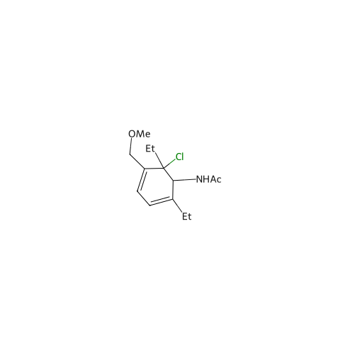 CCC1=CC=C(COC)C(Cl)(CC)C1NC(C)=O